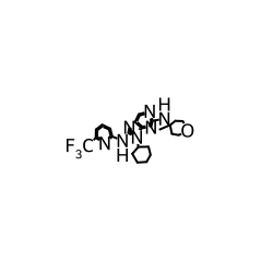 CC1(Nc2ncc3nc(Nc4cccc(C(F)(F)F)n4)n(C4CCCCC4)c3n2)CCOCC1